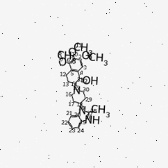 COc1cc2c(c(OC)c1OC)CCC(N1CCC(N3c4ccccc4NC3C)CC1)C2O